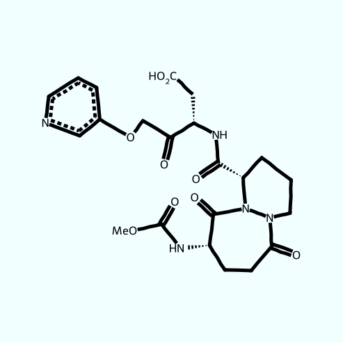 COC(=O)N[C@H]1CCC(=O)N2CCC[C@@H](C(=O)N[C@@H](CC(=O)O)C(=O)COc3cccnc3)N2C1=O